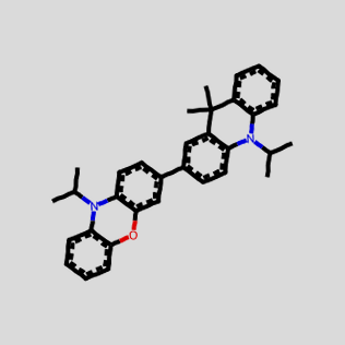 CC(C)N1c2ccccc2Oc2cc(-c3ccc4c(c3)C(C)(C)c3ccccc3N4C(C)C)ccc21